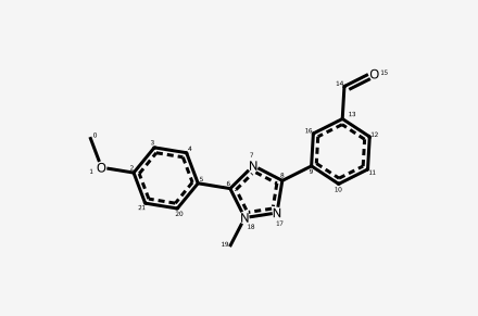 COc1ccc(-c2nc(-c3cccc(C=O)c3)nn2C)cc1